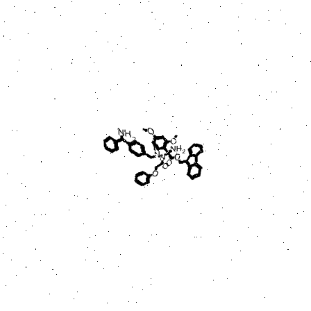 COc1ccc(C(N)(C(=O)OCC2c3ccccc3-c3ccccc32)N(NCc2ccc(C(N)c3ccccc3)cc2)C(=O)COc2ccccc2)c(OC)c1